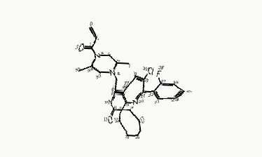 C=CC(=O)N1CC(C)N(C2=NC(=O)C3(CCCCC3)c3nc(-c4ccccc4F)c(Cl)cc32)CC1C